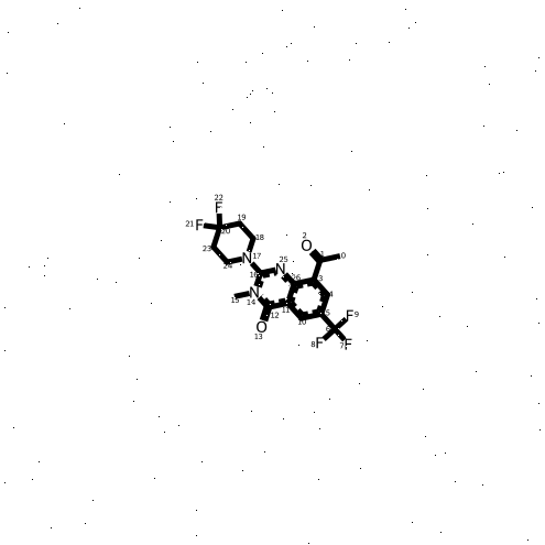 CC(=O)c1cc(C(F)(F)F)cc2c(=O)n(C)c(N3CCC(F)(F)CC3)nc12